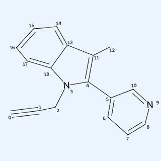 C#CCn1c(-c2cccnc2)c(C)c2ccccc21